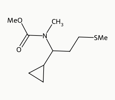 COC(=O)N(C)C(CCSC)C1CC1